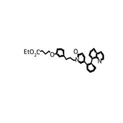 CCOC(=O)CCCOc1cccc(CCCn2cc(-c3ccccc3-c3cccc4cccnc34)ccc2=O)c1